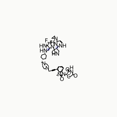 Cn1c(=O)n(C2CCC(=O)NC2=O)c2cccc(C#CCN3CCN(C[C@H]4CC[C@H](N/C=C(/NC(=O)/C(C=N)=C5\N=C(N6CC6)C=CN5)C(=N)C(F)F)CC4)CC3)c21